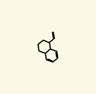 C=CC1CCCC2C=CC=CC12